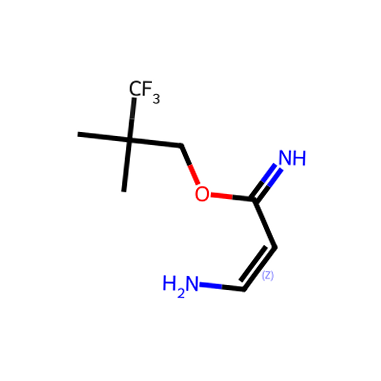 CC(C)(COC(=N)/C=C\N)C(F)(F)F